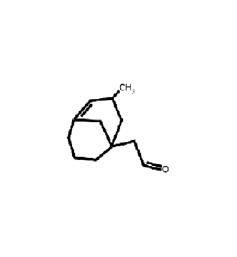 CC1C=C2CCCC(CC=O)(C2)C1